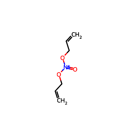 C=CCO[N+](=O)OCC=C